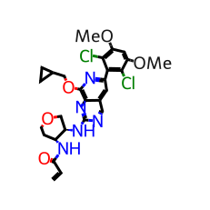 C=CC(=O)N[C@H]1CCOC[C@H]1Nc1ncc2cc(-c3c(Cl)c(OC)cc(OC)c3Cl)nc(OCC3CC3)c2n1